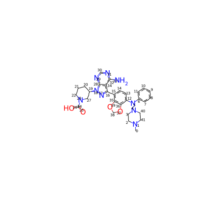 CN1CCN(N(c2ccccc2)c2ccc(-c3nn([C@@H]4CCCN(C(=O)O)C4)c4ncnc(N)c34)c3c2OCO3)CC1